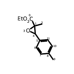 CCOC(=O)C1(C)OC1c1ccc(C)cc1